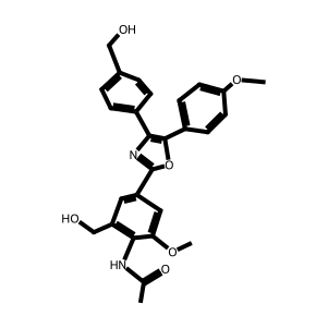 COc1ccc(-c2oc(-c3cc(CO)c(NC(C)=O)c(OC)c3)nc2-c2ccc(CO)cc2)cc1